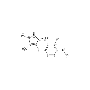 CC1=C(Cc2ccc(OC(C)C)c(F)c2)C(C=O)NN1C(C)C